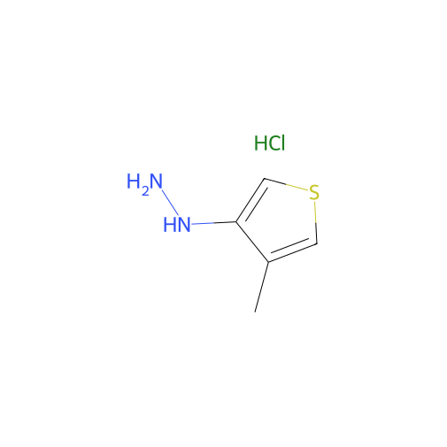 Cc1cscc1NN.Cl